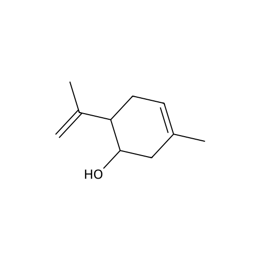 C=C(C)C1CC=C(C)CC1O